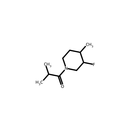 CC(C)C(=O)N1CCC(C)C(F)C1